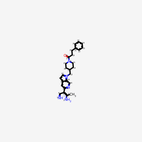 C/C(N)=C(/C=N)c1cc2ccn(CC3CCN(C(=O)CCc4ccccc4)CC3)c2cn1